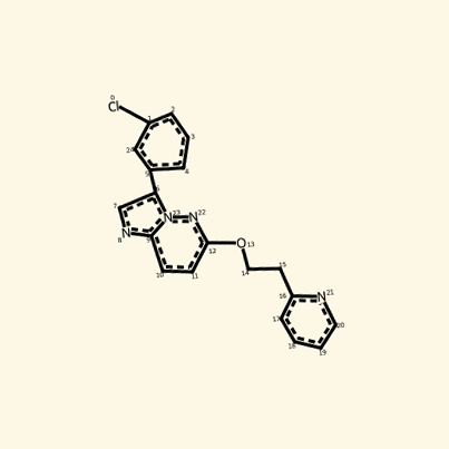 Clc1cccc(-c2cnc3ccc(OCCc4ccccn4)nn23)c1